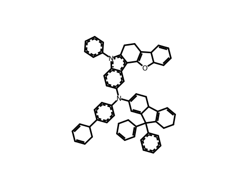 C1=CCCC(C2(c3ccccc3)C3=CC(N(c4ccc(C5C=CC=CC5)cc4)c4ccc5c(c4)c4c(n5-c5ccccc5)CCC5=C4OC4C=CC=CC54)=CCC3C3=C2CCC=C3)=C1